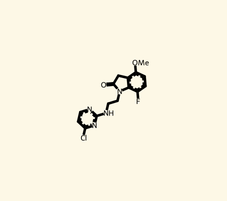 COc1ccc(F)c2c1CC(=O)N2CCNc1nccc(Cl)n1